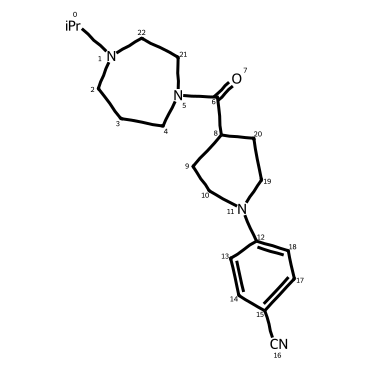 CC(C)N1CCCN(C(=O)C2CCN(c3ccc(C#N)cc3)CC2)CC1